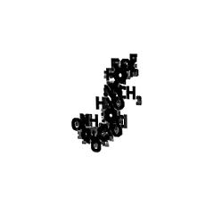 Cn1c(-c2ccc(OC(F)F)c(F)c2F)cnc1C(=O)Nc1ccc(C(=O)N2CCC(C(=O)N3CCC(C(N)=O)C3)CC2)c(Cl)c1